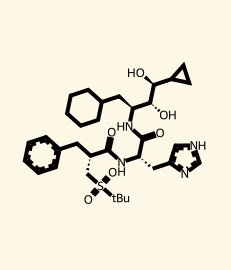 CC(C)(C)S(=O)(=O)C[C@H](Cc1ccccc1)C(=O)N[C@@H](Cc1c[nH]cn1)C(=O)N[C@@H](CC1CCCCC1)[C@@H](O)[C@@H](O)C1CC1